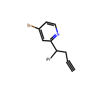 C#CCC(c1cc(Br)ccn1)C(C)C